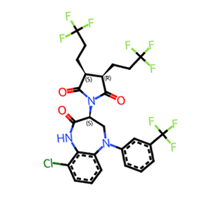 O=C1Nc2c(Cl)cccc2N(c2cccc(C(F)(F)F)c2)C[C@@H]1N1C(=O)[C@@H](CCC(F)(F)F)[C@@H](CCC(F)(F)F)C1=O